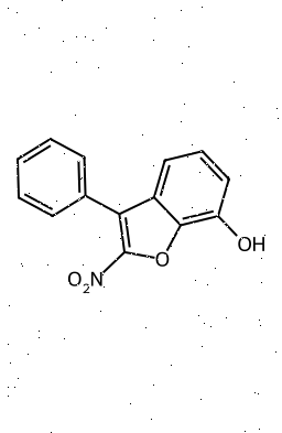 O=[N+]([O-])c1oc2c(O)cccc2c1-c1ccccc1